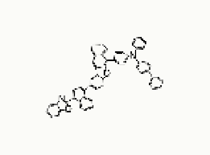 c1ccc(-c2ccc(N(c3ccccc3)c3ccc(-c4c5ccccc5cc5c4oc4ccc(-c6ccc(-c7nc8ccccc8o7)c7ccccc67)cc45)cc3)cc2)cc1